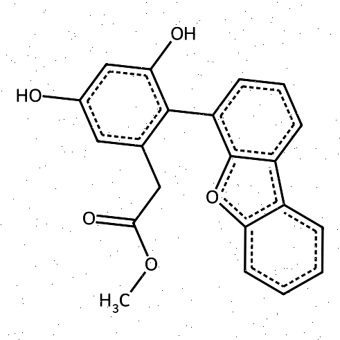 COC(=O)Cc1cc(O)cc(O)c1-c1cccc2c1oc1ccccc12